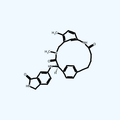 Cc1ccc2cc1CN(C)C(=O)[C@H](Nc1ccc3c(c1)C(=O)NC3)c1ccc(cc1)CCCC(=O)N2